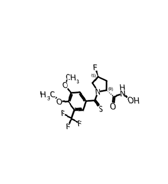 COc1cc(C(=S)N2C[C@@H](F)C[C@@H]2C(=O)NO)cc(C(F)(F)F)c1OC